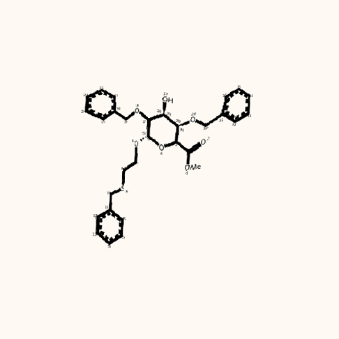 COC(=O)C1O[C@H](OCCSCc2ccccc2)C(OCc2ccccc2)[C@@H](O)[C@H]1OCc1ccccc1